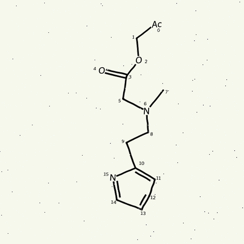 CC(=O)COC(=O)CN(C)CCc1ccccn1